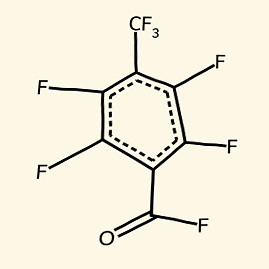 O=C(F)c1c(F)c(F)c(C(F)(F)F)c(F)c1F